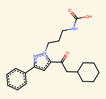 O=C(O)NCCCn1nc(-c2ccccc2)cc1C(=O)CC1CCCCC1